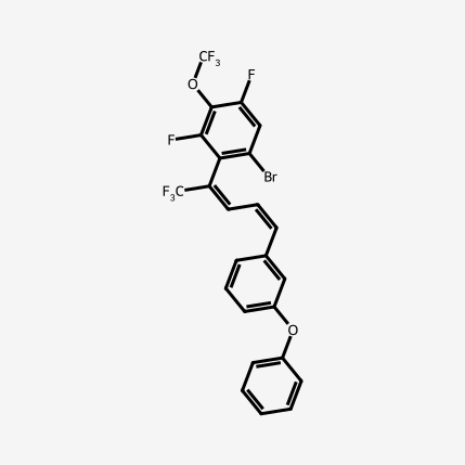 Fc1cc(Br)c(/C(=C\C=C/c2cccc(Oc3ccccc3)c2)C(F)(F)F)c(F)c1OC(F)(F)F